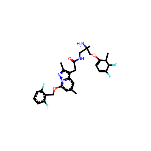 Cc1cc(OCc2c(F)cccc2F)n2nc(C)c(CC(=O)NCC(C)(N)COC3=CC=C(F)C(F)C3C)c2c1